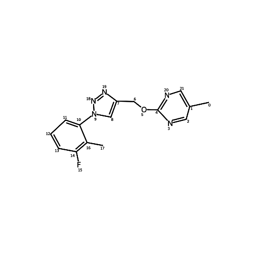 Cc1cnc(OCc2cn(-c3cccc(F)c3C)nn2)nc1